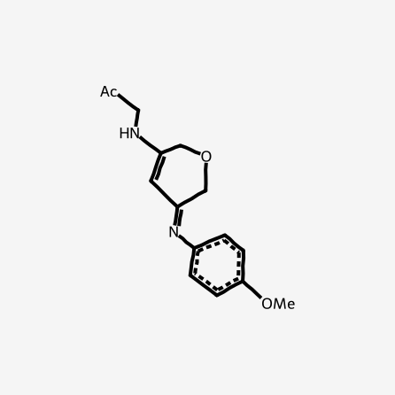 COc1ccc(/N=C2/C=C(NCC(C)=O)COC2)cc1